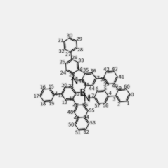 c1ccc(-c2ccc(N3B4c5c(cc(-c6ccccc6)cc5-n5c6ccc(-c7ccccc7)cc6c6cc(-c7ccccc7)cc4c65)-c4cc5ccccc5cc43)cc2)cc1